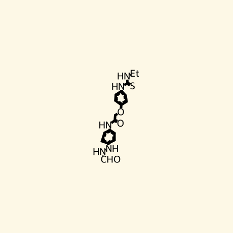 CCNC(=S)Nc1ccc(OCC(=O)Nc2ccc(NNC=O)cc2)cc1